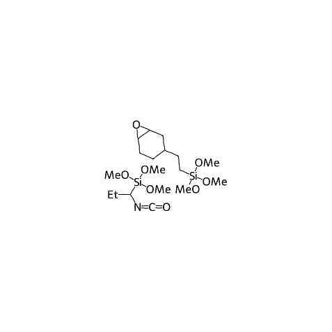 CCC(N=C=O)[Si](OC)(OC)OC.CO[Si](CCC1CCC2OC2C1)(OC)OC